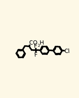 O=C(O)C(Cc1ccccc1)CC(F)(F)c1ccc(-c2ccc(Cl)cc2)cc1